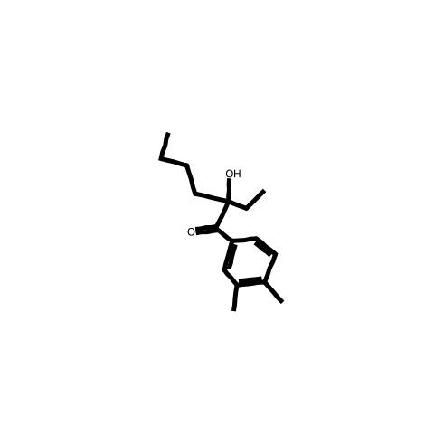 CCCCC(O)(CC)C(=O)c1ccc(C)c(C)c1